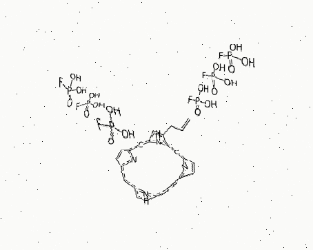 C=CCc1cc2cc3nc(cc4ccc(cc5nc(cc1[nH]2)C=C5)[nH]4)C=C3.O=P(O)(O)F.O=P(O)(O)F.O=P(O)(O)F.O=P(O)(O)F.O=P(O)(O)F.O=P(O)(O)F